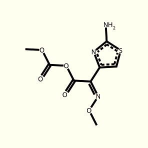 CON=C(C(=O)OC(=O)OC)c1csc(N)n1